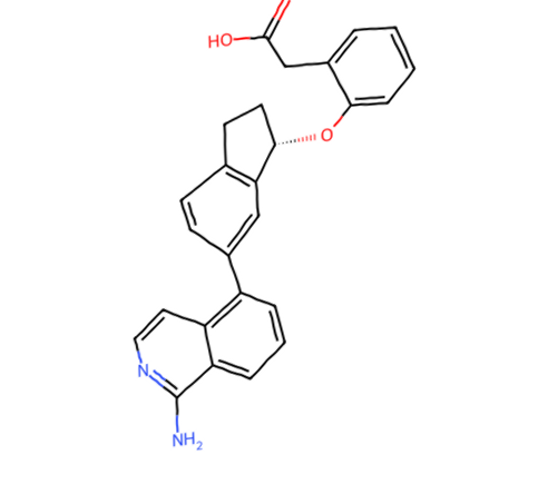 Nc1nccc2c(-c3ccc4c(c3)[C@@H](Oc3ccccc3CC(=O)O)CC4)cccc12